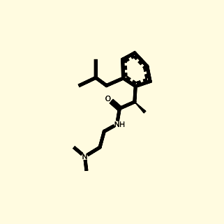 CC(C)Cc1ccccc1[C@@H](C)C(=O)NCCN(C)C